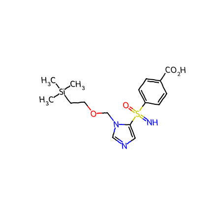 C[Si](C)(C)CCOCn1cncc1S(=N)(=O)c1ccc(C(=O)O)cc1